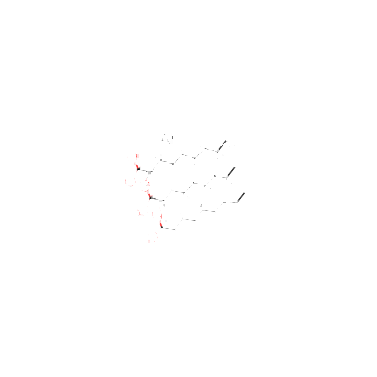 C=CCCCCCCC(=O)[O-].C=CCCCCCCC(=O)[O-].C=CCCCCCCC(=O)[O-].[Al+3]